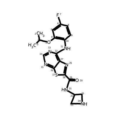 CC(C)Oc1cc(F)ccc1Nc1ncnc2sc(C(=O)NC3CNC3)nc12